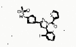 CS(=O)(=O)Nc1ccc(C2=NN(C(=O)c3cccs3)C(c3ccccc3F)C2)cc1